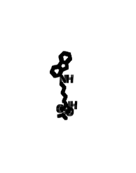 CC(C)S(=O)(=O)NCCCCCNc1cccc2c1Cc1ccccc1-2